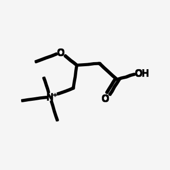 COC(CC(=O)O)C[N+](C)(C)C